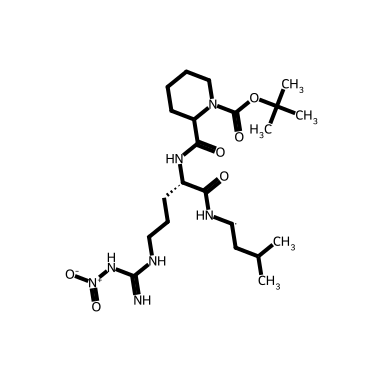 CC(C)C[CH]NC(=O)[C@H](CCCNC(=N)N[N+](=O)[O-])NC(=O)C1CCCCN1C(=O)OC(C)(C)C